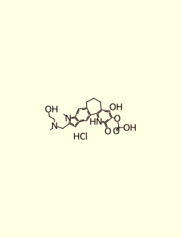 CN(CCO)Cc1cc2cc3c(cc2n1C)CCCc1c-3[nH]c(=O)c(OC(=O)O)c1O.Cl